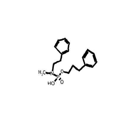 CN(CCc1ccccc1)P(=O)(O)OCCCc1ccccc1